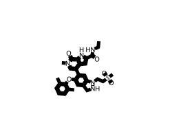 CCNC(=O)c1cc2c(-c3cc4c(cc3Oc3c(C)cccc3C)CNN4CCS(C)(=O)=O)cn(C)c(=O)c2[nH]1